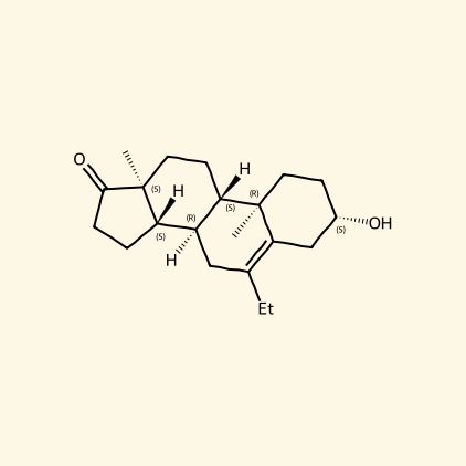 CCC1=C2C[C@@H](O)CC[C@]2(C)[C@H]2CC[C@]3(C)C(=O)CC[C@H]3[C@@H]2C1